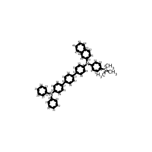 C[Si](C)(C)c1ccc(N(c2ccc(-c3ccc(-c4ccc(N(c5ccccc5)c5ccccc5)cc4)cc3)cc2)c2ccc3ccccc3c2)cc1